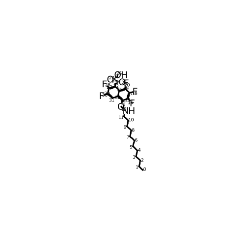 CCCCCCCCCCCCNOc1c(F)c(F)c(F)c2c(S(=O)(=O)O)c(F)c(F)cc12